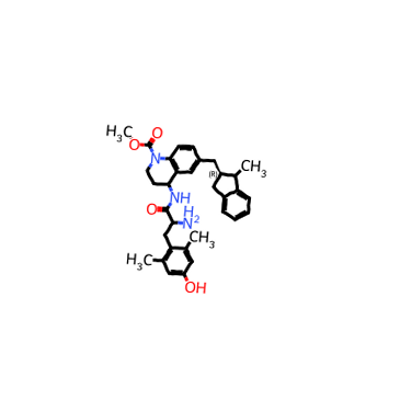 COC(=O)N1CCC(NC(=O)C(N)Cc2c(C)cc(O)cc2C)c2cc(C[C@@H]3Cc4ccccc4C3C)ccc21